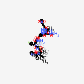 CCCCCCN(C(=O)[C@@H](NC(=O)[C@H]1CCCCN1C)[C@H](C)CC)[C@H](C[C@@H](OC(C)=O)c1nc(C(=O)N[C@@H](Cc2ccc(F)cc2)C[C@H](C)C(=O)N(N)C(=O)OCc2ccc(NC(=O)[C@H](CCCNC(N)=O)NC(=O)[C@@H](NC(=O)CCCCCN3C(=O)C=CC3=O)C(C)C)cc2)cs1)C(C)C